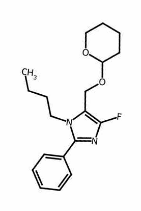 CCCCn1c(-c2ccccc2)nc(F)c1COC1CCCCO1